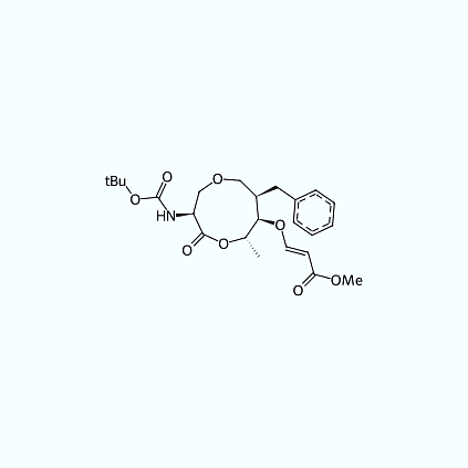 COC(=O)C=CO[C@@H]1[C@H](Cc2ccccc2)COC[C@H](NC(=O)OC(C)(C)C)C(=O)O[C@H]1C